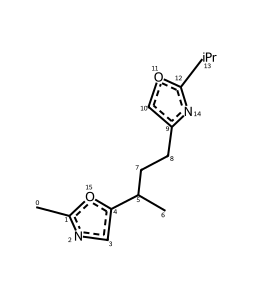 Cc1ncc(C(C)CCc2coc(C(C)C)n2)o1